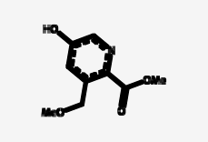 COCc1cc(O)cnc1C(=O)OC